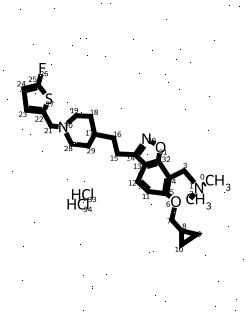 CN(C)Cc1c(OCC2CC2)ccc2c(CCC3CCN(Cc4ccc(F)s4)CC3)noc12.Cl.Cl